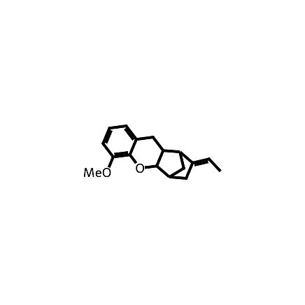 CC=C1CC2CC1C1Cc3cccc(OC)c3OC21